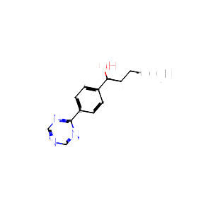 O=C(O)CCC(O)c1ccc(-c2ncncn2)cc1